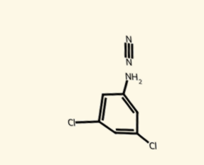 N#N.Nc1cc(Cl)cc(Cl)c1